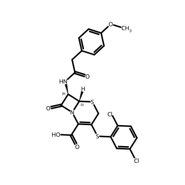 COc1ccc(CC(=O)N[C@@H]2C(=O)N3C(C(=O)O)=C(Sc4cc(Cl)ccc4Cl)CS[C@@H]23)cc1